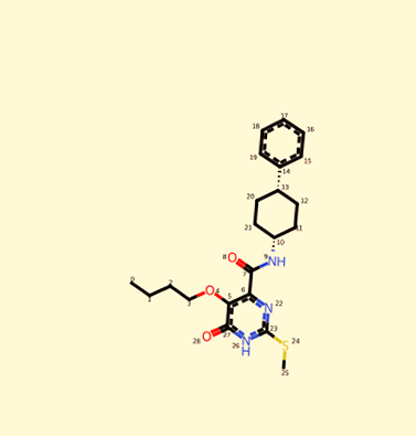 CCCCOc1c(C(=O)N[C@H]2CC[C@@H](c3ccccc3)CC2)nc(SC)[nH]c1=O